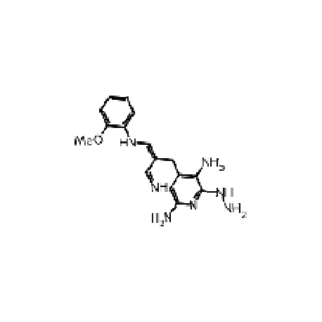 COc1ccccc1N/C=C(\C=N)Cc1cc(N)nc(NN)c1N